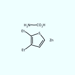 CCc1ccsc1CC.NC(=O)O.[Zn]